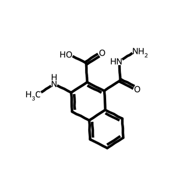 CNc1cc2ccccc2c(C(=O)NN)c1C(=O)O